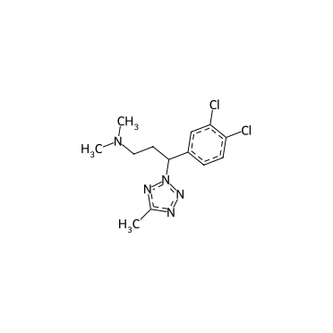 Cc1nnn(C(CCN(C)C)c2ccc(Cl)c(Cl)c2)n1